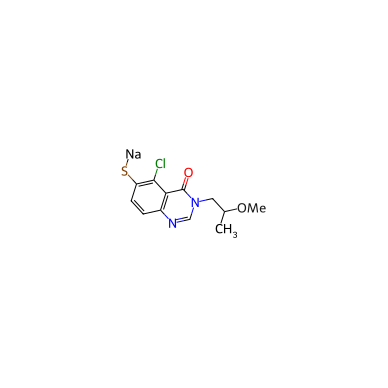 COC(C)Cn1cnc2ccc([S][Na])c(Cl)c2c1=O